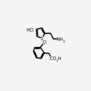 Cl.NCCc1cccs1.O=C(O)Cc1ccccc1Cl